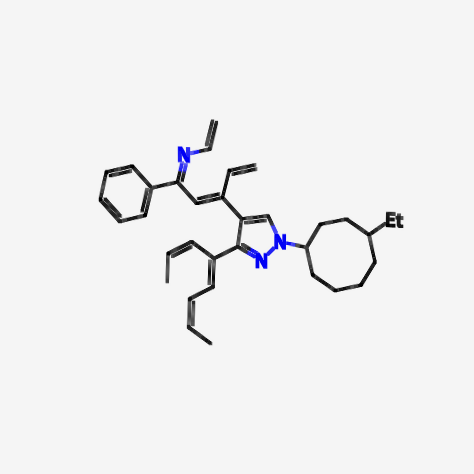 C=C/N=C(\C=C(/C=C)c1cn(C2CCCCC(CC)CC2)nc1C(/C=C\C)=C/C=C\C)c1ccccc1